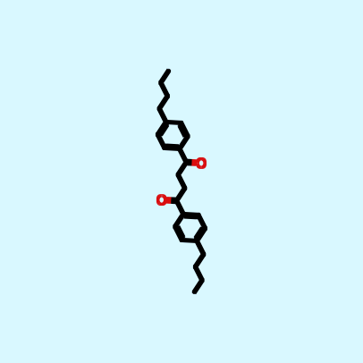 CCCCc1ccc(C(=O)CCC(=O)c2ccc(CCCC)cc2)cc1